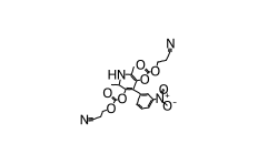 CC1=C(OC(=O)OCCC#N)C(c2cccc([N+](=O)[O-])c2)=C(OC(=O)OCCC#N)C(C)N1